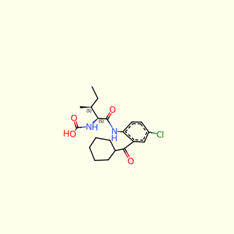 CC[C@H](C)[C@H](NC(=O)O)C(=O)Nc1ccc(Cl)cc1C(=O)C1CCCCC1